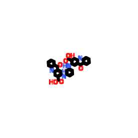 O=C(O)C1=C(Nc2cccc(NC3=C(C(=O)O)CC4=Nc5ccccc5C(=O)C4=C3)c2)C=C2C(=O)c3ccccc3N=C2C1